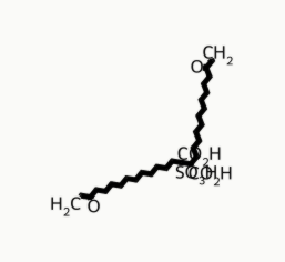 C=CC(=O)CCCCCCCCCCCC(C(=O)O)C(CCCCCCCCCCCC(=O)C=C)(C(=O)O)S(=O)(=O)O